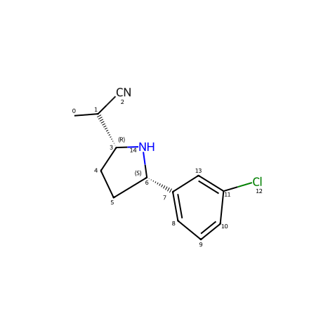 CC(C#N)[C@H]1CC[C@@H](c2cccc(Cl)c2)N1